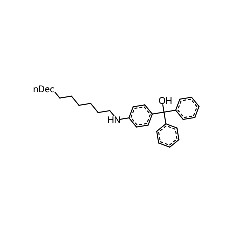 CCCCCCCCCCCCCCCCNc1ccc(C(O)(c2ccccc2)c2ccccc2)cc1